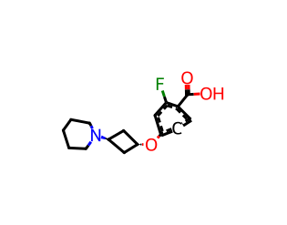 O=C(O)c1ccc(O[C@H]2C[C@H](N3CCCCC3)C2)cc1F